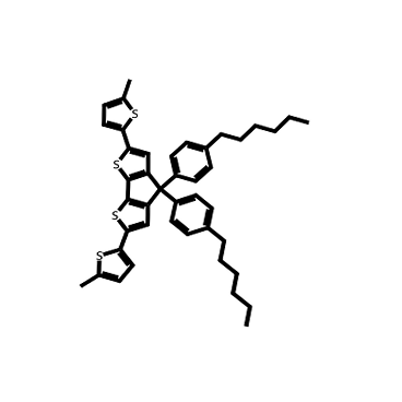 CCCCCCc1ccc(C2(c3ccc(CCCCCC)cc3)c3cc(-c4ccc(C)s4)sc3-c3sc(-c4ccc(C)s4)cc32)cc1